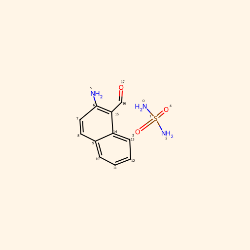 NS(N)(=O)=O.Nc1ccc2ccccc2c1C=O